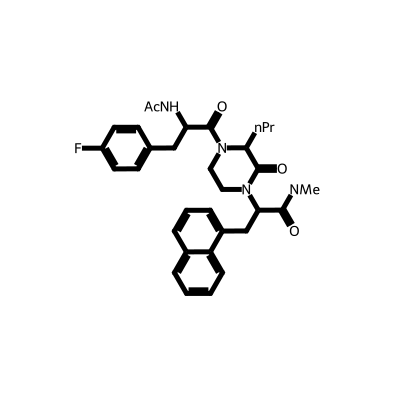 CCCC1C(=O)N(C(Cc2cccc3ccccc23)C(=O)NC)CCN1C(=O)C(Cc1ccc(F)cc1)NC(C)=O